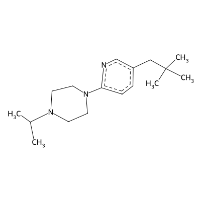 CC(C)N1CCN(c2ccc(CC(C)(C)C)cn2)CC1